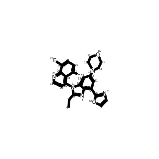 CCc1nc2c(-c3ncco3)cc(N3CCOCC3)cc2n1-c1ccnc2c(F)ccc(F)c12